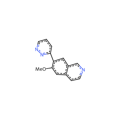 COc1cc2ccncc2cc1-c1cccnn1